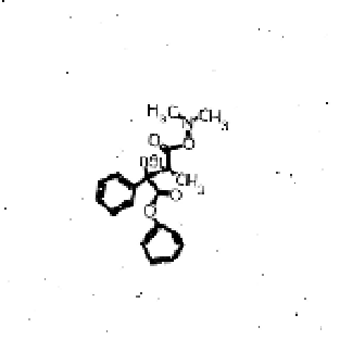 CCCCC(C(=O)Oc1ccccc1)(c1ccccc1)C(C)C(=O)ON(C)C